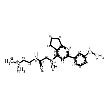 COc1ccnc(-c2nc3c(c(N(C)CC(=O)NCCN(C)C)n2)CCC3)c1